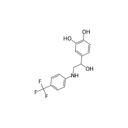 Oc1ccc(C(O)CNc2ccc(C(F)(F)F)cc2)cc1O